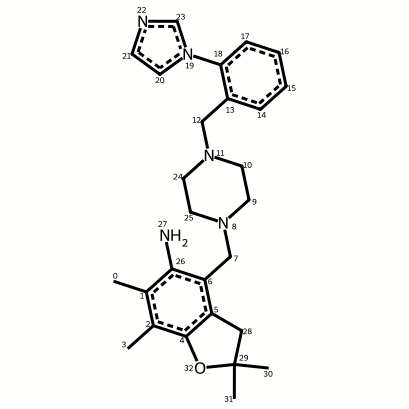 Cc1c(C)c2c(c(CN3CCN(Cc4ccccc4-n4ccnc4)CC3)c1N)CC(C)(C)O2